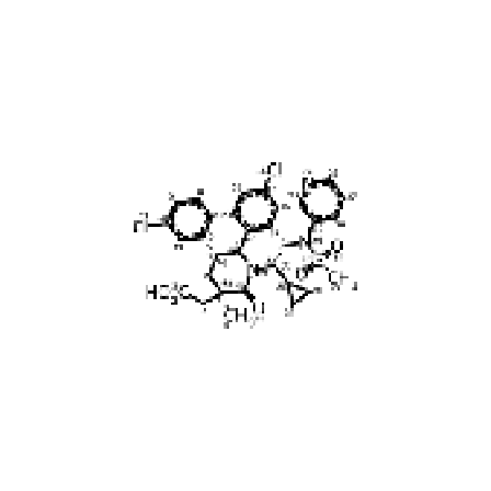 C[C@]1(CC(=O)O)C[C@H](c2cccc(Cl)c2)C(c2ccc(Cl)cc2)N([C@H](CN(c2cccnc2)S(C)(=O)=O)C2CC2)C1=O